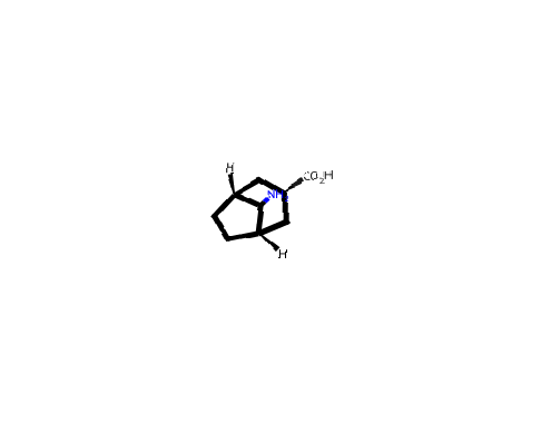 NC1[C@@H]2CC[C@H]1C[C@H](C(=O)O)C2